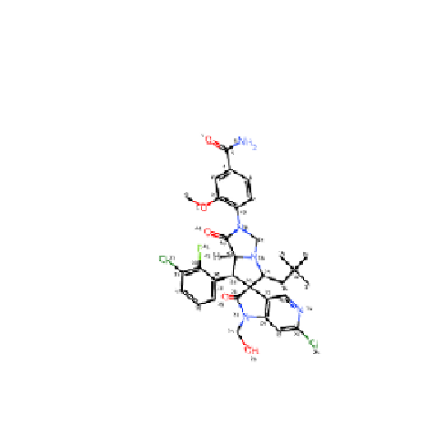 COc1cc(C(N)=O)ccc1N1CN2[C@@H](CC(C)(C)C)[C@@]3(C(=O)N(CO)c4cc(Cl)ncc43)[C@@H](c3cccc(Cl)c3F)[C@@H]2C1=O